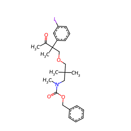 CC(=O)C(C)(COCC(C)(C)CN(C)C(=O)OCc1ccccc1)c1cccc(I)c1